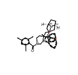 Cc1cc(C)c(C(=O)N2CCC(CCN3[C@@H]4CC[C@H]3CC(n3c(C)nc5ccccc53)C4)(c3ccccc3)CC2)c(C)c1